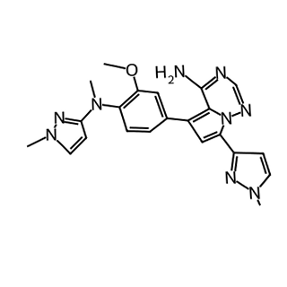 COc1cc(-c2cc(-c3ccn(C)n3)n3ncnc(N)c23)ccc1N(C)c1ccn(C)n1